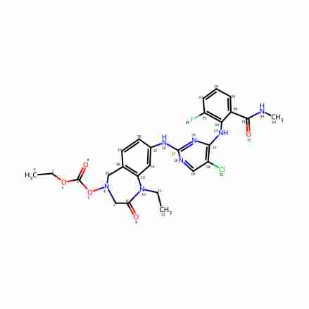 CCOC(=O)ON1CC(=O)N(CC)c2cc(Nc3ncc(Cl)c(Nc4c(F)cccc4C(=O)NC)n3)ccc2C1